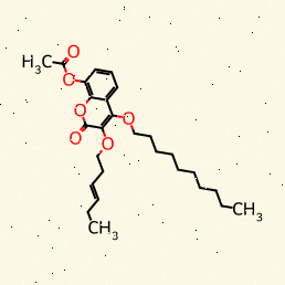 CCC=CCCOc1c(OCCCCCCCCCC)c2cccc(OC(C)=O)c2oc1=O